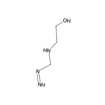 N=NCNCCO